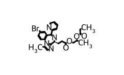 CCC(=O)OC(C)COC(=O)CC[C@@H]1N=C(c2ccccn2)c2cc(Br)ccc2-n2c(C)cnc21